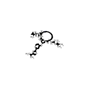 CC(C)c1csc(-c2cc(O[C@@H]3C[C@H]4C(=O)N[C@]5(C(=O)NS(=O)(=O)C6(C)CC6)C[C@H]5/C=C\CCCCC[C@H](NC(=O)OC(C)(C)C)C(=O)N4C3)ccn2)n1